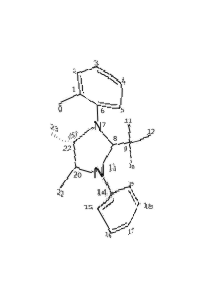 Cc1ccccc1N1C(C(C)(C)C)N(c2ccccc2)C(C)[C@@H]1C